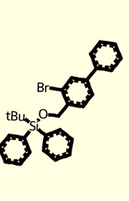 CC(C)(C)[Si](OCc1ccc(-c2ccccc2)cc1Br)(c1ccccc1)c1ccccc1